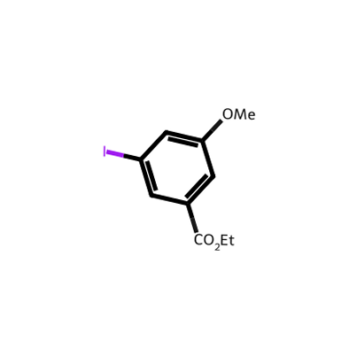 CCOC(=O)c1cc(I)cc(OC)c1